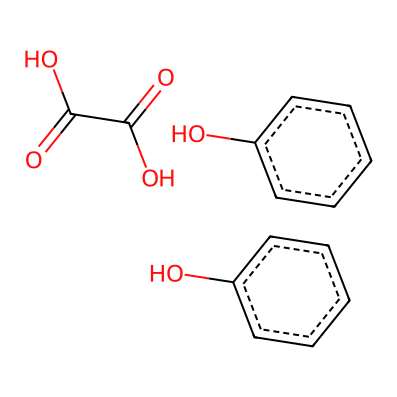 O=C(O)C(=O)O.Oc1ccccc1.Oc1ccccc1